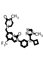 CN1CCN(Cc2cc(C(F)(F)F)c3cn(-c4cccc([C@H](c5nncn5C)C5CCC5)c4)c(=O)n3c2)CC1=O